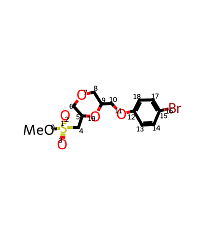 COS(=O)(=O)CC1COCC(COc2ccc(Br)cc2)O1